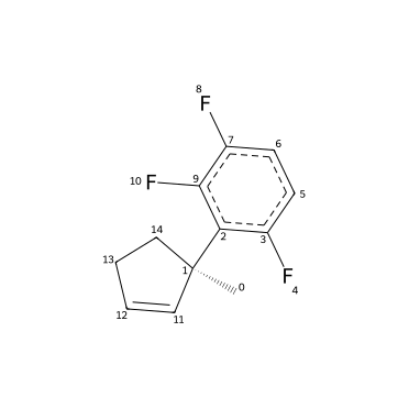 C[C@]1(c2c(F)ccc(F)c2F)C=CCC1